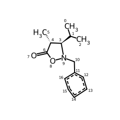 CC(C)[C@@H]1[C@@H](C)C(=O)ON1Cc1ccccc1